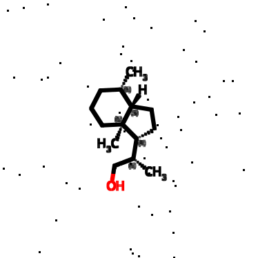 C[C@H](CO)[C@H]1CC[C@H]2[C@@H](C)CCC[C@]12C